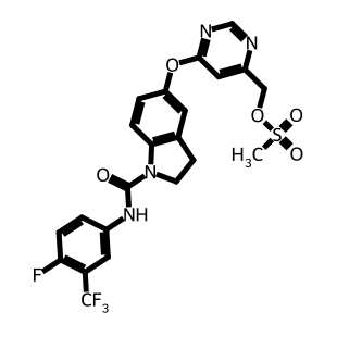 CS(=O)(=O)OCc1cc(Oc2ccc3c(c2)CCN3C(=O)Nc2ccc(F)c(C(F)(F)F)c2)ncn1